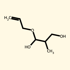 C=CCOC(O)C(C)CO